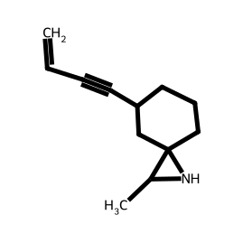 C=CC#CC1CCCC2(C1)NC2C